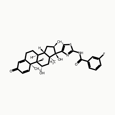 C[C@@H]1C[C@H]2[C@@H]3CCC4=CC(=O)C=C[C@]4(C)[C@@]3(F)[C@@H](O)C[C@]2(C)[C@@]1(O)c1csc(NC(=O)c2cccc(F)c2)n1